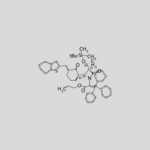 C=CCOC(=O)C(N1C(=O)[C@H]([C@@H](C)O[Si](C)(C)C(C)(C)C)[C@H]1[C@H]1CCCC(=Cc2cc3ccccc3s2)C1=O)=P(c1ccccc1)(c1ccccc1)c1ccccc1